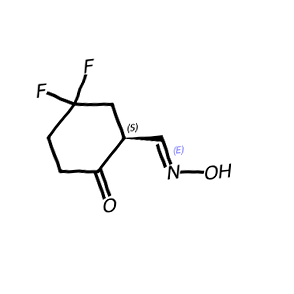 O=C1CCC(F)(F)C[C@H]1/C=N/O